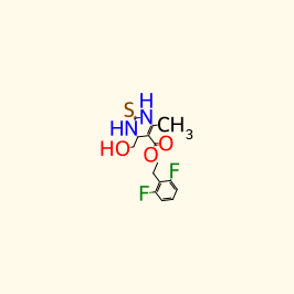 CC1=C(C(=O)OCCc2c(F)cccc2F)C(CO)NC(=S)N1